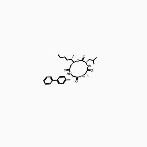 CCCC[C@H](C)[C@@H]1CC(=O)N[C@@H](Cc2ccc(-c3ccccc3)cc2)C(=O)N[C@@H](C)C(=O)N[C@H](CC(C)C)C(=O)O1